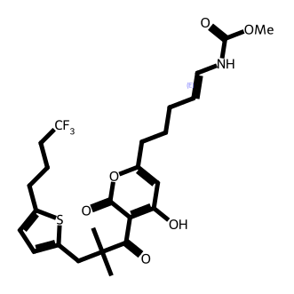 COC(=O)N/C=C/CCCc1cc(O)c(C(=O)C(C)(C)Cc2ccc(CCCC(F)(F)F)s2)c(=O)o1